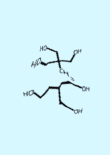 CC(CO)(CO)CO.OCCC(CO)CO